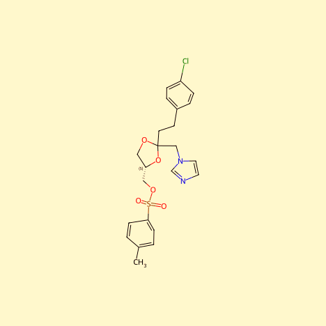 Cc1ccc(S(=O)(=O)OC[C@@H]2COC(CCc3ccc(Cl)cc3)(Cn3ccnc3)O2)cc1